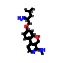 CNc1nccc2c1COc1cc(OCC(N)CC(C)C)ccc1-2